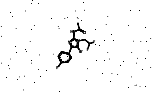 CC(=O)Nc1nc(-c2ccc(F)cc2)c(Br)n1CC(F)F